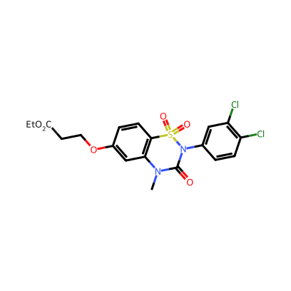 CCOC(=O)CCOc1ccc2c(c1)N(C)C(=O)N(c1ccc(Cl)c(Cl)c1)S2(=O)=O